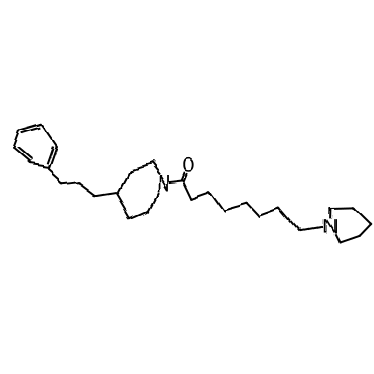 O=C(CCCCCCCN1CCCCC1)N1CCC(CCCc2ccccc2)CC1